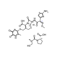 CO/N=C(\C(=O)N[C@@H]1C(=O)N2C(C(=O)O)=C(CSc3nc(=O)c(=O)[nH]n3C)CS[C@H]12)c1csc(N)n1.C[C@H](CS)C(=O)N1CCC[C@H]1C(=O)O